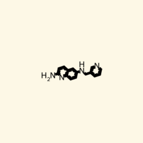 Nc1ccc2cc(NCc3cccnc3)ccc2n1